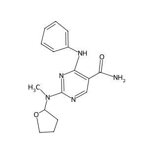 CN(c1ncc(C(N)=O)c(Nc2ccccc2)n1)C1CCCO1